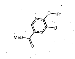 COC(=O)c1cnc(OC(C)C)c(Cl)c1